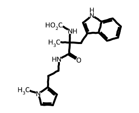 Cn1cccc1CCNC(=O)C(C)(Cc1c[nH]c2ccccc12)NC(=O)O